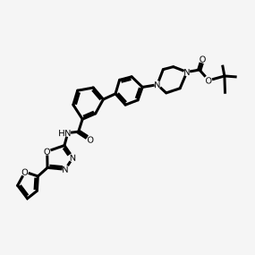 CC(C)(C)OC(=O)N1CCN(c2ccc(-c3cccc(C(=O)Nc4nnc(-c5ccco5)o4)c3)cc2)CC1